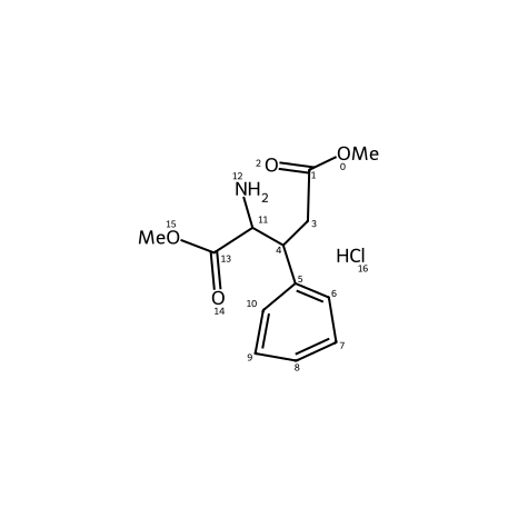 COC(=O)CC(c1ccccc1)C(N)C(=O)OC.Cl